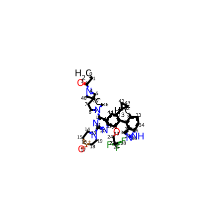 C=CC(=O)N1CC2(CCN(c3nc(N4CC[S+]([O-])CC4)nc4c(OCC(F)(F)F)c(-c5c(C)ccc6[nH]ncc56)c(C5CC5)cc34)CC2)C1